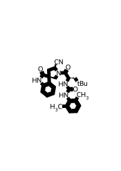 Cc1cccc(C)c1NC(=O)N[C@@H](CC(C)(C)C)C(=O)N1C[C@]2(C[C@H]1C#N)C(=O)Nc1ccccc12